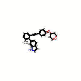 O=C(O)c1cccc(C#Cc2ccc(OC3CCOCC3)cc2)c1-c1ccc2cc[nH]c2c1